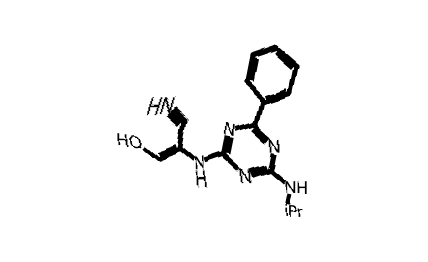 CC(C)Nc1nc(N/C(C=N)=C/O)nc(-c2ccccc2)n1